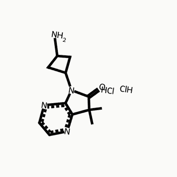 CC1(C)C(=O)N(C2CC(N)C2)c2nccnc21.Cl.Cl